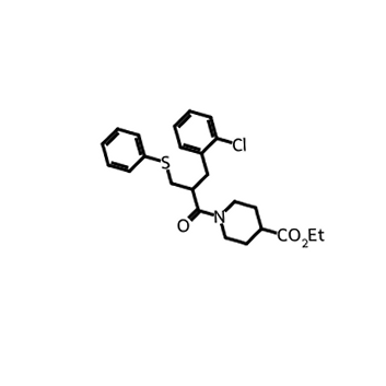 CCOC(=O)C1CCN(C(=O)C(CSc2ccccc2)Cc2ccccc2Cl)CC1